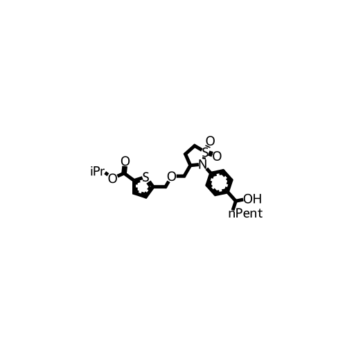 CCCCCC(O)c1ccc(N2C(COCc3ccc(C(=O)OC(C)C)s3)CCS2(=O)=O)cc1